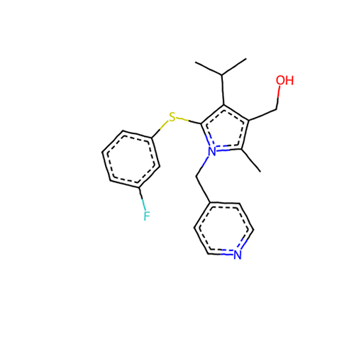 Cc1c(CO)c(C(C)C)c(Sc2cccc(F)c2)n1Cc1ccncc1